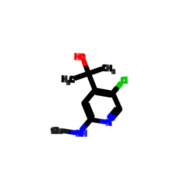 CC(C)(C)Nc1cc(C(C)(C)O)c(Cl)cn1